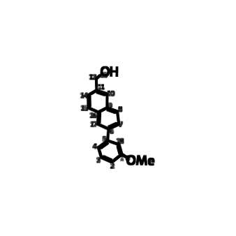 COc1cccc(-c2ccc3cc(CO)ccc3c2)c1